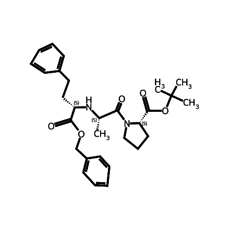 C[C@H](N[C@@H](CCc1ccccc1)C(=O)OCc1ccccc1)C(=O)N1CCC[C@H]1C(=O)OC(C)(C)C